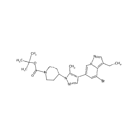 CCc1cnn2cc(-c3cnn(C4CCN(C(=O)OC(C)(C)C)CC4)c3C)cc(Br)c12